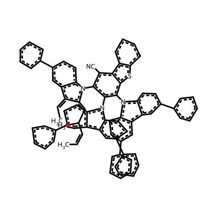 C/C=C\C(C)/C=c1\c(=C/C)c2cc(-c3ccccc3)ccc2n1-c1c(-n2c3ccc(-c4ccccc4)cc3c3cc(-c4ccccc4)ccc32)c(-n2c3ccc(-c4ccccc4)cc3c3cc(-c4ccccc4)ccc32)c2sc3ccccc3c2c1C#N